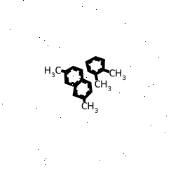 Cc1ccc2ccc(C)cc2c1.Cc1ccccc1C